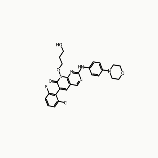 O=c1c(-c2c(F)cccc2Cl)cc2cnc(Nc3ccc(N4CCOCC4)cc3)nc2n1OCCCO